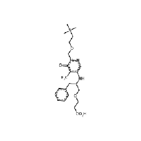 C[Si](C)(C)CCOCn1ncc(NC(COCCC(=O)O)Cc2ccccc2)c(C(F)(F)F)c1=O